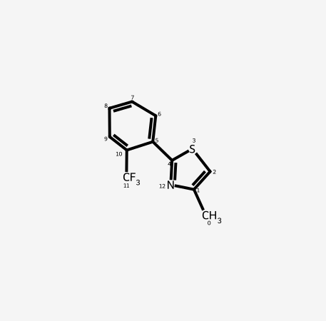 Cc1csc(-c2ccccc2C(F)(F)F)n1